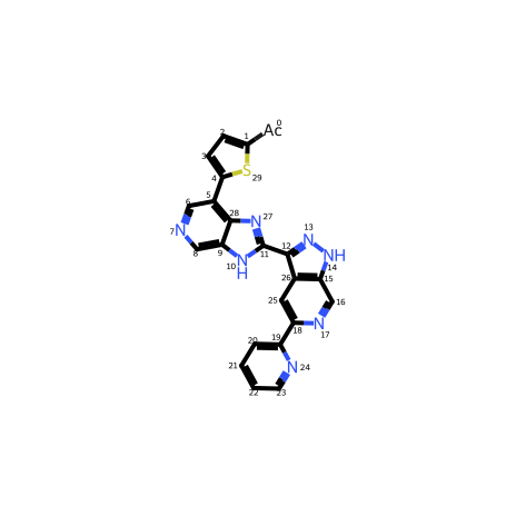 CC(=O)c1ccc(-c2cncc3[nH]c(-c4n[nH]c5cnc(-c6ccccn6)cc45)nc23)s1